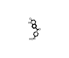 O=C1CCc2cc(C(=O)N3CCC(=NO)CC3)ccc2N1